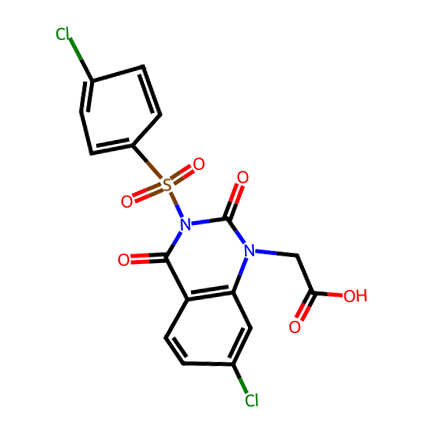 O=C(O)Cn1c(=O)n(S(=O)(=O)c2ccc(Cl)cc2)c(=O)c2ccc(Cl)cc21